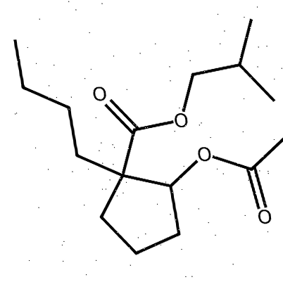 CCCCC1(C(=O)OCC(C)C)CCCC1OC(C)=O